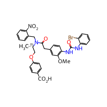 COc1cc(CC(=O)N(Cc2ccccc2[N+](=O)[O-])[C@@H](C)COc2ccc(C(=O)O)cc2)ccc1NC(=O)Nc1ccccc1Br